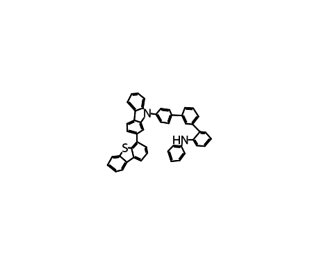 c1ccc(Nc2ccccc2-c2cccc(-c3ccc(-n4c5ccccc5c5ccc(-c6cccc7c6sc6ccccc67)cc54)cc3)c2)cc1